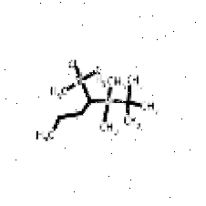 CCCC([Si](C)(C)Cl)[Si](C)(C)C(C)(C)C